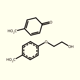 O=C(O)c1ccc(OCCO)cc1.O=C1C=CC(C(=O)O)=CC1